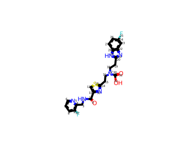 O=C(NCc1ncccc1F)c1csc(CCN(CCc2nc3cc(F)ccc3[nH]2)C(=O)O)n1